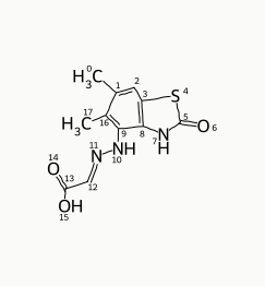 Cc1cc2sc(=O)[nH]c2c(NN=CC(=O)O)c1C